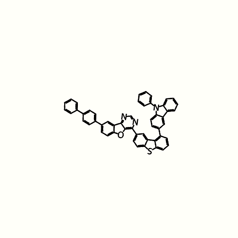 c1ccc(-c2ccc(-c3ccc4oc5c(-c6ccc7sc8cccc(-c9ccc%10c(c9)c9ccccc9n%10-c9ccccc9)c8c7c6)ncnc5c4c3)cc2)cc1